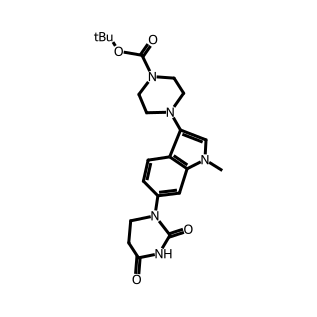 Cn1cc(N2CCN(C(=O)OC(C)(C)C)CC2)c2ccc(N3CCC(=O)NC3=O)cc21